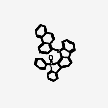 O=P1(c2ccccc2)c2ccccc2-c2ccc3c4ccccc4n(-c4cccc5c4ccc4ccccc45)c3c21